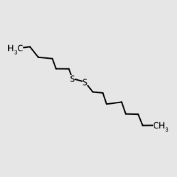 CCCCCCCCSSCCCCCC